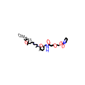 CC[C@H](OC)C(C)OC(C)(C)C[C@H](C)/C=C/C=C(\C)[C@H]1O[C@@H](CNC(=O)CCOCCOC(=O)N2CCCC2)CC[C@@H]1C